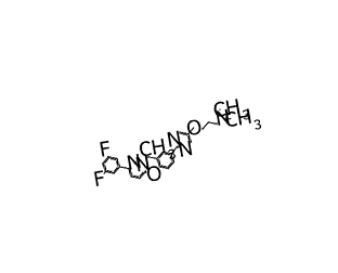 CC(c1cccc(-c2ncc(OCCCN(C)C)cn2)c1)n1nc(-c2cc(F)cc(F)c2)ccc1=O